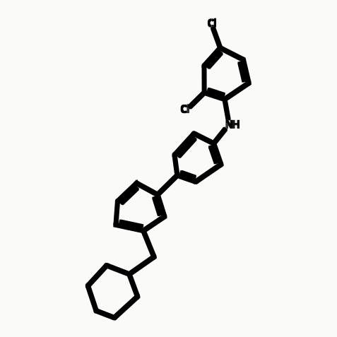 Clc1ccc(Nc2ccc(-c3[c]ccc(CC4CCCCC4)c3)cc2)c(Cl)c1